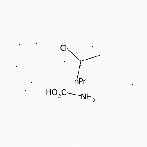 CCCC(C)Cl.NC(=O)O